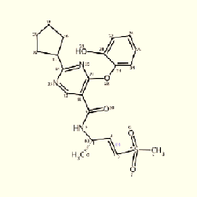 C[C@@H](/C=C/S(C)(=O)=O)NC(=O)c1cnc(C2CCCC2)nc1Oc1ccccc1O